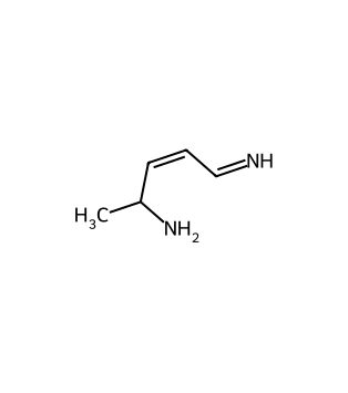 CC(N)/C=C\C=N